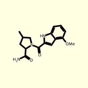 COc1cccc2[nH]c(C(=O)N3CC(C)CC3C(N)=O)cc12